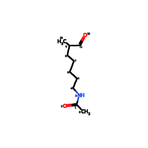 CC(=O)NCCCCCC(C)C=O